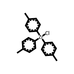 Cc1cc[c]([Zr]([Cl])([c]2ccc(C)cc2)[c]2ccc(C)cc2)cc1